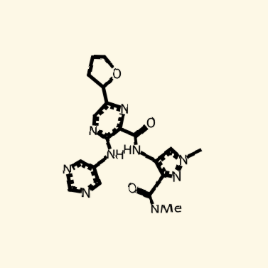 CNC(=O)c1nn(C)cc1NC(=O)c1nc(C2CCCO2)cnc1Nc1cncnc1